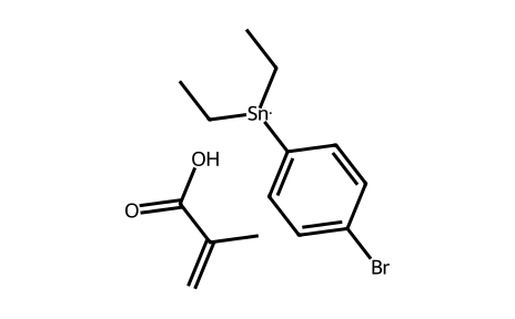 C=C(C)C(=O)O.C[CH2][Sn]([CH2]C)[c]1ccc(Br)cc1